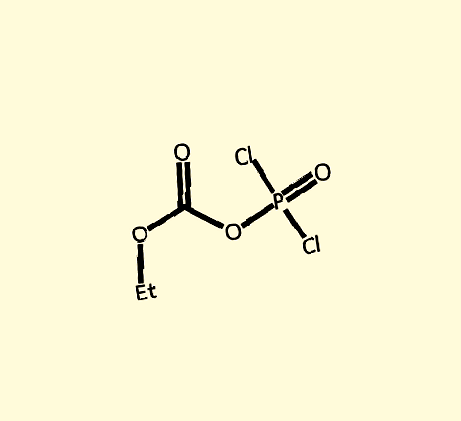 CCOC(=O)OP(=O)(Cl)Cl